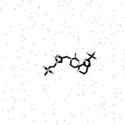 C[C@H]1C[C@@]2(CCN1Cc1cn(CCS(C)(=O)=O)nn1)OCCc1cc(C(F)(F)F)sc12